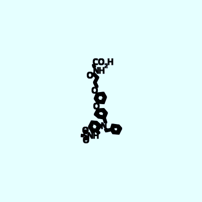 Cc1c(NS(C)(=O)=O)cccc1N(Cc1ccccc1)Cc1ccc(Oc2cccc(OCCCC(=O)NCC(=O)O)c2)cc1